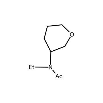 CCN(C(C)=O)C1CCCOC1